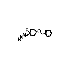 [N-]=[N+]=NCC1(F)CCC(OCc2ccccc2)CC1